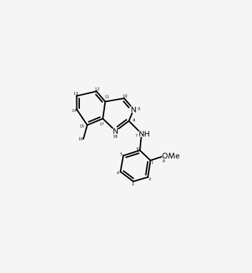 COc1ccccc1Nc1ncc2cccc(C)c2n1